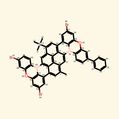 Cc1cc2c3c(cc4c([Si](C)(C)C)cc5c6c(cc1c3c46)B1c3ccc(-c4ccccc4)cc3Oc3cc(Br)cc-5c31)B1c3ccc(Br)cc3Oc3cc(Br)cc-2c31